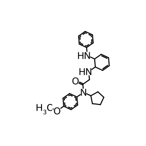 COc1ccc(N(C(=O)CNC2C=CC=CC2Nc2ccccc2)C2CCCC2)cc1